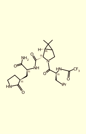 CC(C)C[C@H](NC(=O)C(F)(F)F)C(=O)N1CC2[C@@H]([C@H]1C(=O)N[C@@H](C[C@@H]1CCNC1=O)C(N)=O)C2(C)C